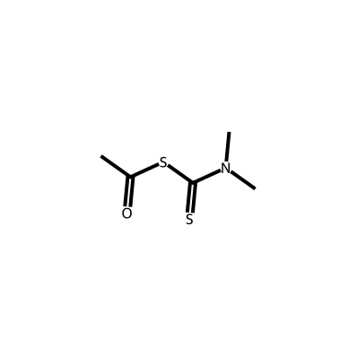 CC(=O)SC(=S)N(C)C